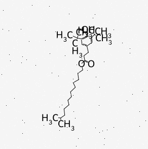 CC(C)CCCCCCCCCCCOC(=O)CCc1cc(C(C)(C)C)c(O)c(C(C)(C)C)c1